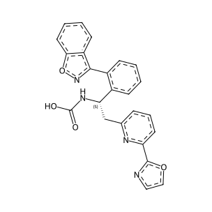 O=C(O)N[C@@H](Cc1cccc(-c2ncco2)n1)c1ccccc1-c1noc2ccccc12